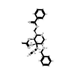 CC(=O)O[C@H]1[C@@H](COC(=O)c2ccccc2)O[CH][C@H](OCc2ccccc2)[C@]1(O)N=[N+]=[N-]